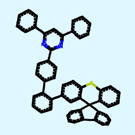 c1ccc(-c2cc(-c3ccccc3)nc(-c3ccc(-c4ccccc4-c4ccc5c(c4)C4(c6ccccc6S5)c5ccccc5-c5ccccc54)cc3)n2)cc1